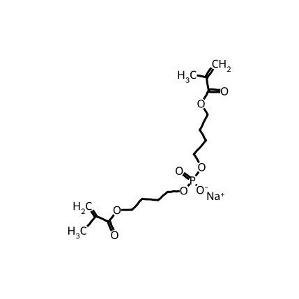 C=C(C)C(=O)OCCCCOP(=O)([O-])OCCCCOC(=O)C(=C)C.[Na+]